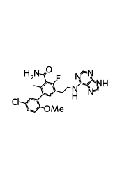 COc1ccc(Cl)cc1-c1cc(CCNc2ncnc3[nH]cnc23)c(F)c(C(N)=O)c1C